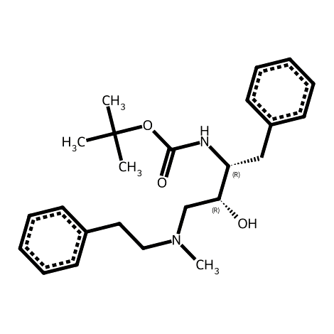 CN(CCc1ccccc1)C[C@@H](O)[C@@H](Cc1ccccc1)NC(=O)OC(C)(C)C